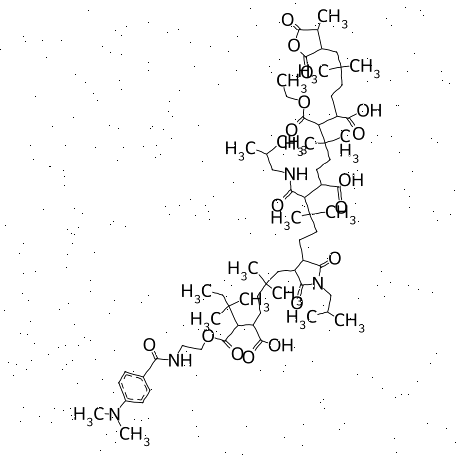 CCOC(=O)C(C(CCC(C)(C)CC1C(=O)OC(=O)C1C)C(=O)O)C(C)(C)CCC(C(=O)O)C(C(=O)NCC(C)C)C(C)(C)CCC1C(=O)N(CC(C)C)C(=O)C1CC(C)(C)CCC(C(=O)O)C(C(=O)OCCNC(=O)c1ccc(N(C)C)cc1)C(C)(C)CC